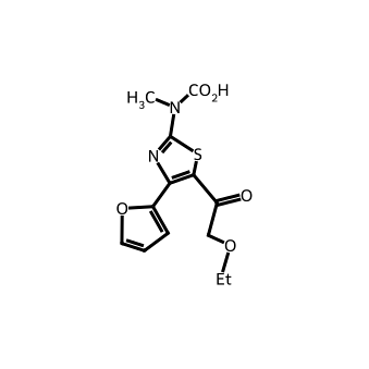 CCOCC(=O)c1sc(N(C)C(=O)O)nc1-c1ccco1